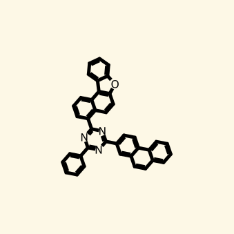 c1ccc(-c2nc(-c3ccc4c(ccc5ccccc54)c3)nc(-c3cccc4c3ccc3oc5ccccc5c34)n2)cc1